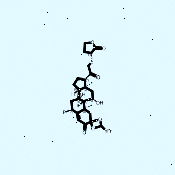 CCCC1OC2(C[C@@]3(C)C(=CC2=O)[C@@H](F)C[C@H]2[C@@H]4CC[C@@H](C(=O)CS[C@@H]5CCOC5=O)[C@@]4(C)C[C@H](O)[C@@]23F)O1